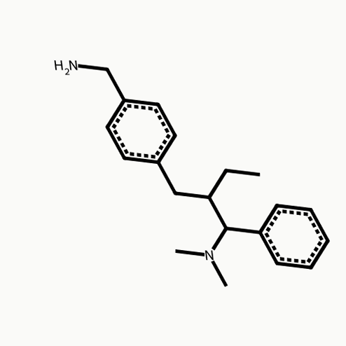 CCC(Cc1ccc(CN)cc1)C(c1ccccc1)N(C)C